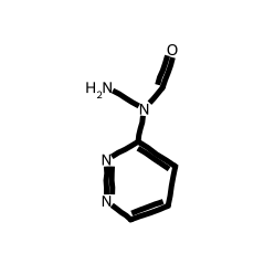 NN(C=O)c1cccnn1